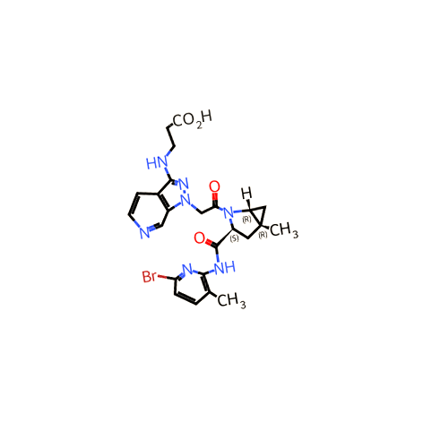 Cc1ccc(Br)nc1NC(=O)[C@@H]1C[C@@]2(C)C[C@H]2N1C(=O)Cn1nc(NCCC(=O)O)c2ccncc21